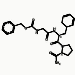 NC(=O)[C@@H]1CCCN1C(=O)[C@H](CC1C=CC=CC1)NC(=O)CNC(=O)OCc1ccccc1